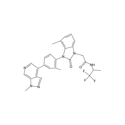 Cc1cc(-c2cncc3c2cnn3C)ccc1-n1c(=O)n(CC(=O)NC(C)C(F)(F)F)c2cccc(C)c21